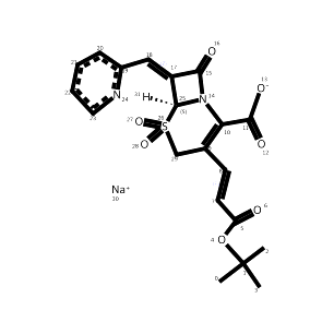 CC(C)(C)OC(=O)/C=C/C1=C(C(=O)[O-])N2C(=O)/C(=C/c3ccccn3)[C@@H]2S(=O)(=O)C1.[Na+]